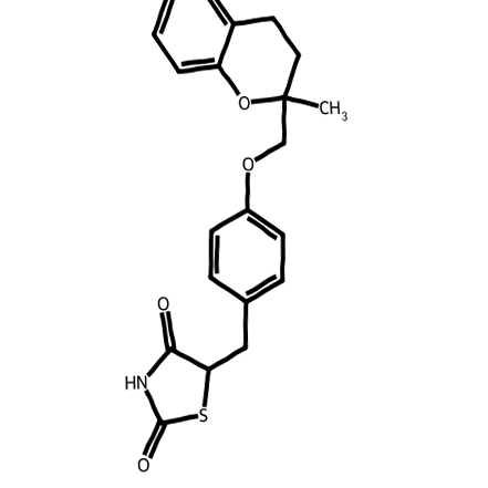 CC1(COc2ccc(CC3SC(=O)NC3=O)cc2)CCc2ccccc2O1